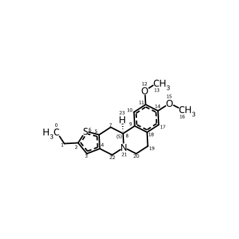 CCc1cc2c(s1)C[C@H]1c3cc(OC)c(OC)cc3CCN1C2